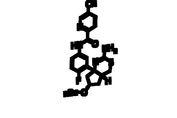 CCCCO[C@@H]1C[C@H]2CSC(N)=N[C@@]2(c2cc(NC(=O)c3ccc(C#N)cn3)ccc2F)C1